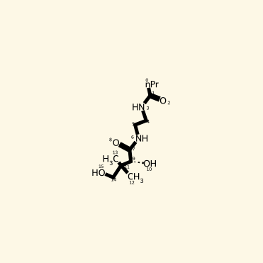 CCCC(=O)NCCNC(=O)[C@H](O)C(C)(C)CO